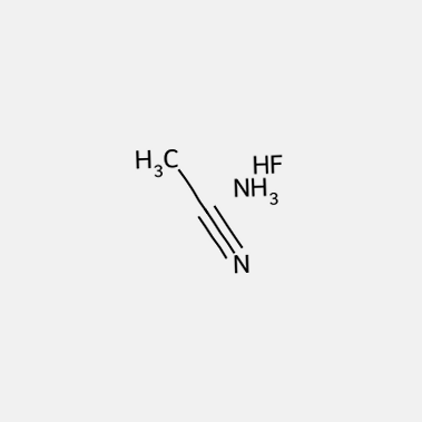 CC#N.F.N